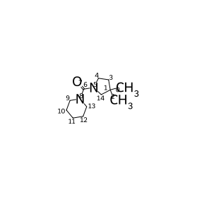 CC1(C)CCN(C(=O)N2CCCCC2)C1